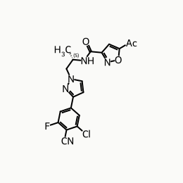 CC(=O)c1cc(C(=O)N[C@@H](C)Cn2ccc(-c3cc(F)c(C#N)c(Cl)c3)n2)no1